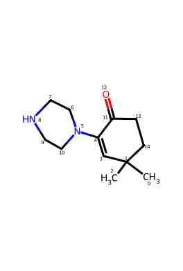 CC1(C)C=C(N2CCNCC2)C(=O)CC1